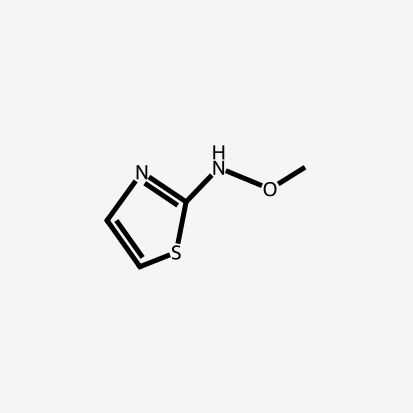 CONc1nccs1